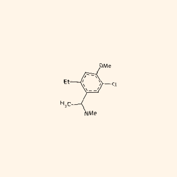 CCc1cc(OC)c(Cl)cc1C(C)NC